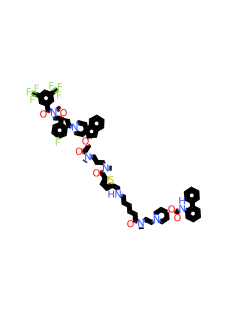 CN(CCN1CCC(OC(=O)Nc2ccccc2-c2ccccc2)CC1)C(=O)CCCCCNCc1ccc(C(=O)N(C)CCCN(C)C(=O)CO[C@H]2Cc3ccccc3C23CCN(CC[C@@]2(c4ccc(F)cc4)CN(C(=O)c4cc(C(F)(F)F)cc(C(F)(F)F)c4)CO2)CC3)s1